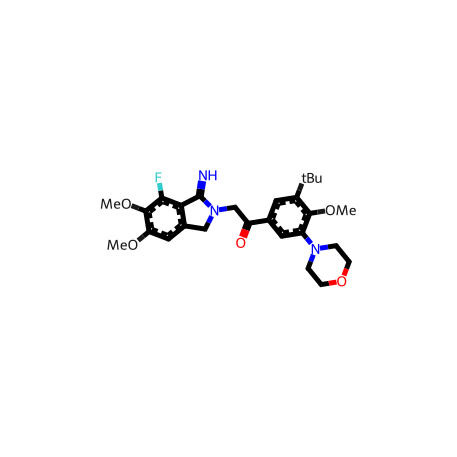 COc1cc2c(c(F)c1OC)C(=N)N(CC(=O)c1cc(N3CCOCC3)c(OC)c(C(C)(C)C)c1)C2